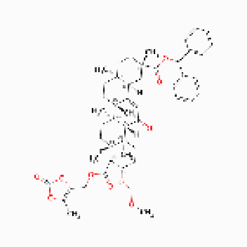 COCO[C@H]1CC[C@@]2(C)[C@@H](CC[C@]3(C)[C@@H]2C(=O)C=C2[C@@H]4C[C@@](C)(C(=O)OC(c5ccccc5)c5ccccc5)CC[C@]4(C)CC[C@]23C)[C@]1(C)C(=O)OCc1oc(=O)oc1C